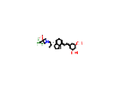 COC1(C(F)(F)F)CN(CC(C)[C@H]2CC[C@H]3C(=CC=C4C[C@@H](O)C[C@H](O)C4)CCC[C@]23C)C1